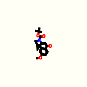 COc1ccc2c(c1)C13CC1CN(C(=O)OC(C)(C)C)C3=CC2=O